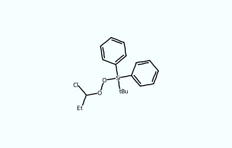 CCC(Cl)OO[Si](c1ccccc1)(c1ccccc1)C(C)(C)C